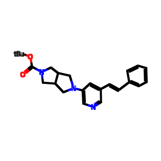 CC(C)(C)OC(=O)N1CC2CN(c3cncc(/C=C/c4ccccc4)c3)CC2C1